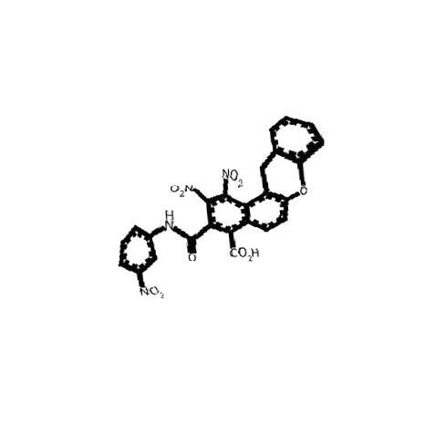 O=C(Nc1cccc([N+](=O)[O-])c1)c1c([N+](=O)[O-])c([N+](=O)[O-])c2c3c(ccc2c1C(=O)O)Oc1ccccc1C3